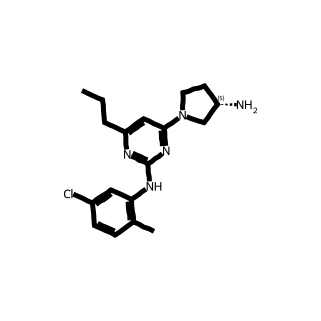 CCCc1cc(N2CC[C@H](N)C2)nc(Nc2cc(Cl)ccc2C)n1